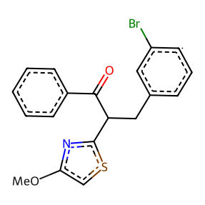 COc1csc(C(Cc2cc[c]c(Br)c2)C(=O)c2ccccc2)n1